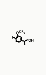 C[C](CO)c1ccc(I)c(OC(F)(F)F)c1